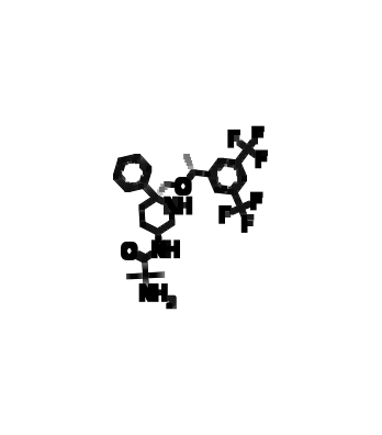 C[C@@H](OC[C@@]1(c2ccccc2)CC[C@H](NC(=O)C(C)(C)N)CN1)c1cc(C(F)(F)F)cc(C(F)(F)F)c1